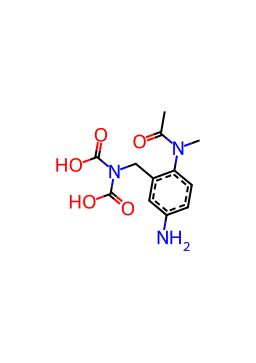 CC(=O)N(C)c1ccc(N)cc1CN(C(=O)O)C(=O)O